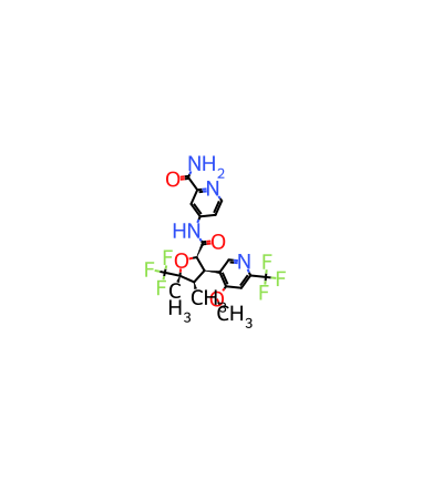 COc1cc(C(F)(F)F)ncc1[C@H]1[C@@H](C)[C@](C)(C(F)(F)F)O[C@H]1C(=O)Nc1ccnc(C(N)=O)c1